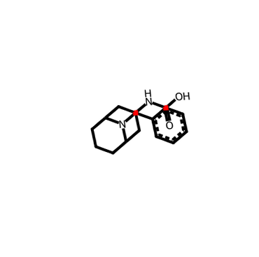 O=C(O)NC1CC2CCCC(C1)N2Cc1ccccc1